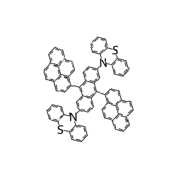 c1ccc2c(c1)Sc1ccccc1N2c1ccc2c(-c3ccc4ccc5cccc6ccc3c4c56)c3cc(N4c5ccccc5Sc5ccccc54)ccc3c(-c3ccc4ccc5cccc6ccc3c4c56)c2c1